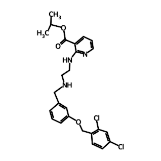 CC(C)OC(=O)c1cccnc1NCCNCc1cccc(OCc2ccc(Cl)cc2Cl)c1